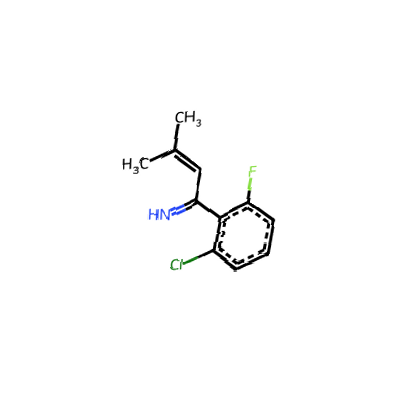 CC(C)=CC(=N)c1c(F)cccc1Cl